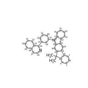 CC1(C)c2ccccc2-c2cc3c4ccccc4n(-c4cccc(-c5nccc6ccccc56)c4)c3cc21